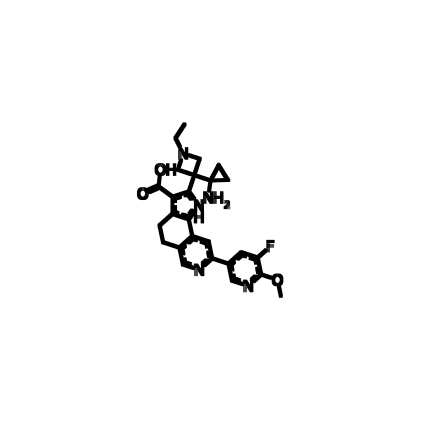 CCN1CC(c2[nH]c3c(c2C(=O)O)CCc2cnc(-c4cnc(OC)c(F)c4)cc2-3)(C2(N)CC2)C1